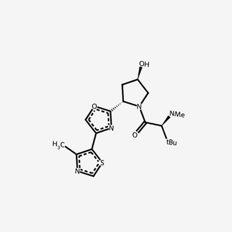 CN[C@H](C(=O)N1C[C@H](O)C[C@H]1c1nc(-c2scnc2C)co1)C(C)(C)C